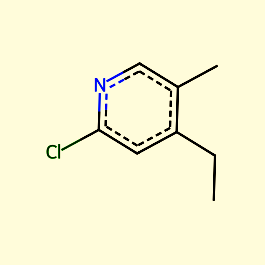 CCc1cc(Cl)ncc1C